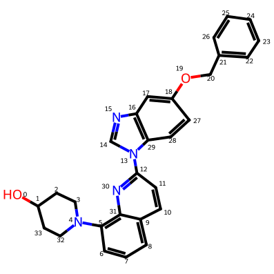 OC1CCN(c2cccc3ccc(-n4cnc5cc(OCc6ccccc6)ccc54)nc23)CC1